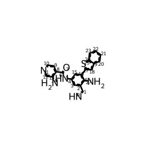 N=Cc1cc(NC(=O)c2ccncc2N)cc(-c2cc3ccccc3s2)c1N